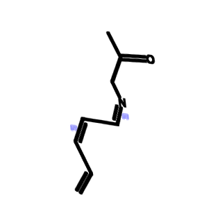 C=C/C=C\C=N/CC(C)=O